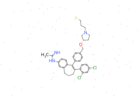 CC(=N)Nc1ccc2c(c1)CCCC(c1ccc(Cl)cc1Cl)=C2c1ccc(CO[C@H]2CCN(CCCF)C2)cc1